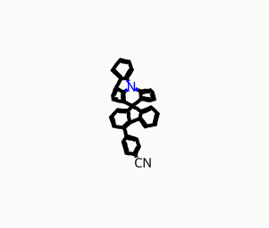 N#Cc1ccc(-c2cccc3c2-c2ccccc2C32c3ccccc3-n3c4ccccc4c4cccc2c43)cc1